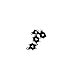 O=C1CSC(c2ccccc2F)N1c1ccc(Oc2ccc(Cl)cc2)cc1